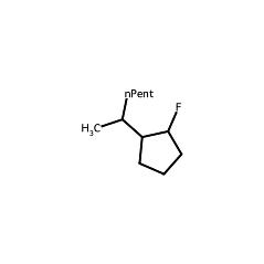 CCCCCC(C)C1CCCC1F